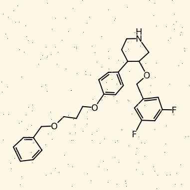 Fc1cc(F)cc(COC2CNCCC2c2ccc(OCCCOCc3ccccc3)cc2)c1